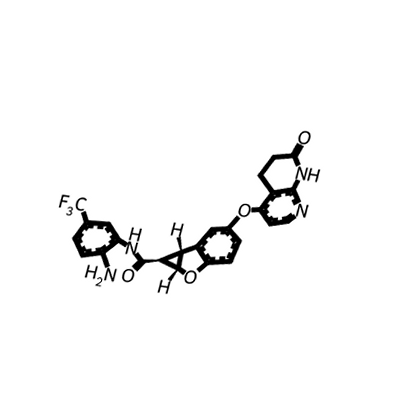 Nc1ccc(C(F)(F)F)cc1NC(=O)[C@@H]1[C@H]2Oc3ccc(Oc4ccnc5c4CCC(=O)N5)cc3[C@H]21